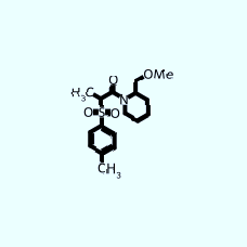 COCC1CCCCN1C(=O)C(C)S(=O)(=O)c1ccc(C)cc1